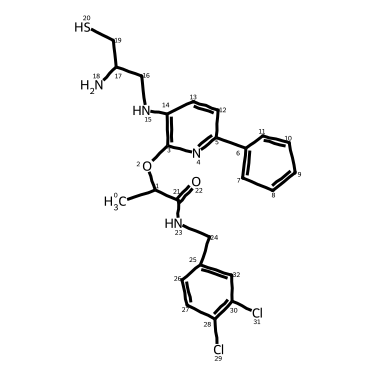 CC(Oc1nc(-c2ccccc2)ccc1NCC(N)CS)C(=O)NCc1ccc(Cl)c(Cl)c1